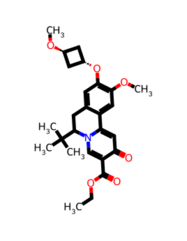 CCOC(=O)c1cn2c(cc1=O)-c1cc(OC)c(O[C@H]3C[C@H](OC)C3)cc1CC2C(C)(C)C